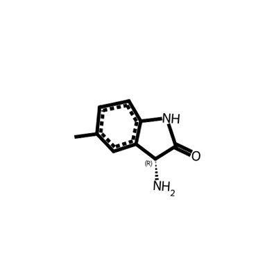 Cc1ccc2c(c1)[C@@H](N)C(=O)N2